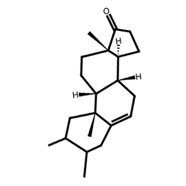 CC1CC2=CC[C@@H]3[C@@H](CC[C@]4(C)C(=O)CC[C@@H]34)[C@@]2(C)CC1C